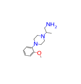 COc1ccccc1N1CCN(C(C)CN)CC1